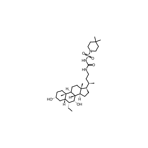 CC[C@H]1[C@@H](O)[C@@H]2[C@H](CC[C@]3(C)[C@@H]([C@H](C)CCNC(=O)NS(=O)(=O)N4CCC(C)(C)CC4)CC[C@@H]23)[C@@]2(C)CC[C@@H](O)C[C@@H]12